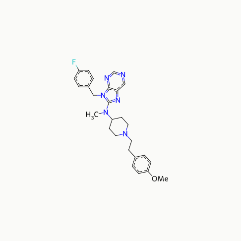 COc1ccc(CCN2CCC(N(C)c3nc4cncnc4n3Cc3ccc(F)cc3)CC2)cc1